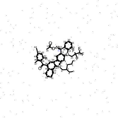 CCCC(CC)Cn1c2ccc(/C(=N\OC(C)=O)c3ccccc3OCC(F)(F)C(F)F)cc2c2cc(C(=O)c3c(C)cc(C)cc3C)c3ccccc3c21